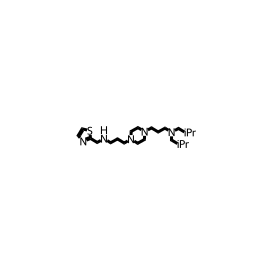 CC(C)CN(CCCN1CCN(CCCNCc2nccs2)CC1)CC(C)C